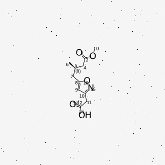 COC(=O)C[C@H](C)Cc1cc(CC(=O)O)no1